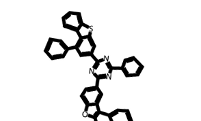 c1ccc(-c2nc(-c3cc(-c4ccccc4)c4c(c3)sc3ccccc34)nc(-c3ccc4oc5ccc6ccccc6c5c4c3)n2)cc1